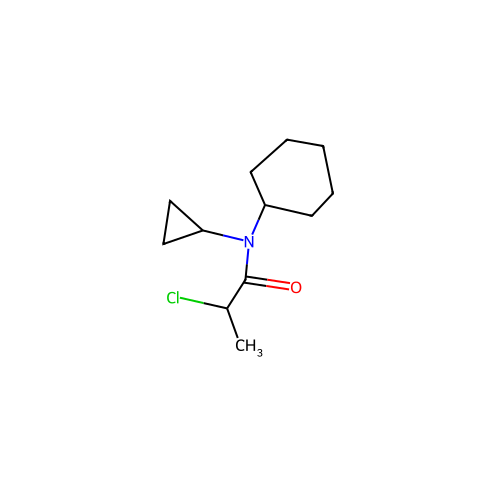 CC(Cl)C(=O)N(C1CCCCC1)C1CC1